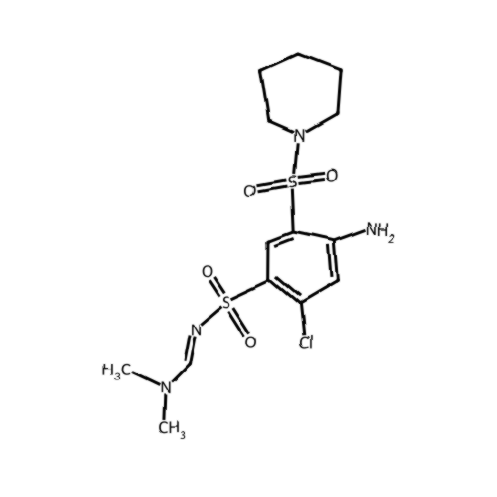 CN(C)/C=N/S(=O)(=O)c1cc(S(=O)(=O)N2CCCCC2)c(N)cc1Cl